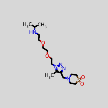 Cc1c(CN2CCS(=O)(=O)CC2)nnn1CCOCCOCCNC(C)C